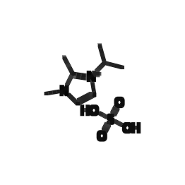 Cc1n(C)cc[n+]1C(C)C.O=S(=O)(O)O